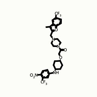 Cc1c(CN2CCN(C(=O)CO[C@H]3CC[C@H](Nc4ccc([N+](=O)[O-])c(C(F)(F)F)c4)CC3)CC2)oc2ccc(C(F)(F)F)cc12